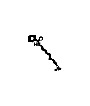 CN(C)CCCCC[CH]CCCNC(=O)c1ccccc1